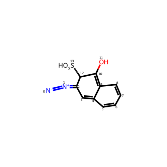 [N-]=[N+]=C1C=c2ccccc2=C(O)C1S(=O)(=O)O